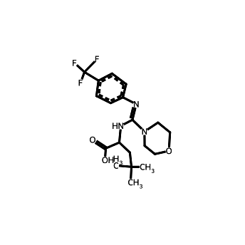 CC(C)(C)CC(N/C(=N\c1ccc(C(F)(F)F)cc1)N1CCOCC1)C(=O)O